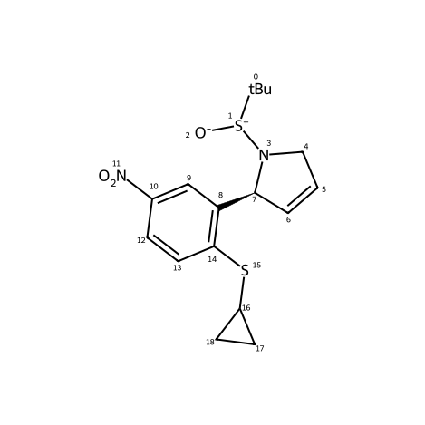 CC(C)(C)[S+]([O-])N1CC=C[C@H]1c1cc([N+](=O)[O-])ccc1SC1CC1